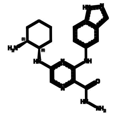 NNC(=O)c1ncc(N[C@@H]2CCCC[C@@H]2N)nc1Nc1ccc2[nH]ncc2c1